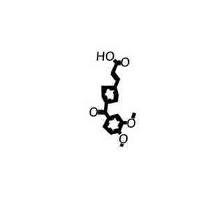 COc1ccc(C(=O)c2ccc(/C=C/C(=O)O)cc2)cc1OC